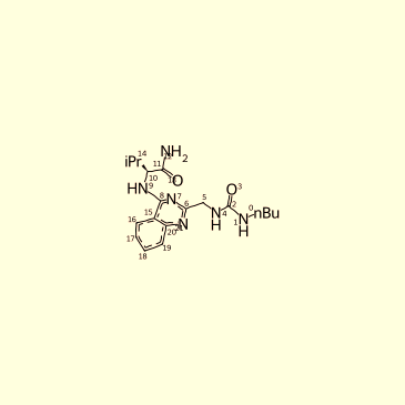 CCCCNC(=O)NCc1nc(N[C@H](C(N)=O)C(C)C)c2ccccc2n1